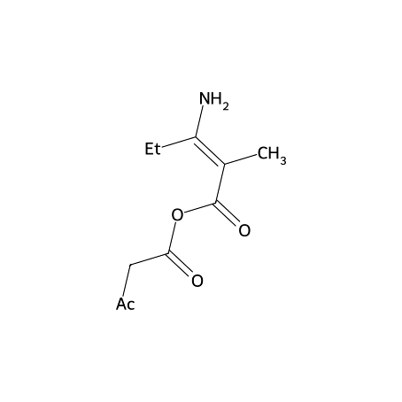 CCC(N)=C(C)C(=O)OC(=O)CC(C)=O